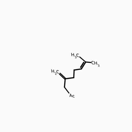 C=C(CCC=C(C)C)CC(C)=O